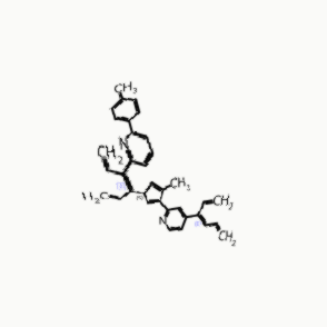 C=C/C=C(\C=C)c1ccnc(C2=C[C@@H](/C(C=C)=C(/C=C)c3cccc(-c4ccc(C)cc4)n3)C=C2C)c1